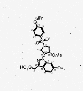 CO[C@@H]1CN(S(=O)(=O)c2ccc(OC(C)C)cc2)C[C@@H]1n1nc(CC(=O)O)c2ccc(F)cc21